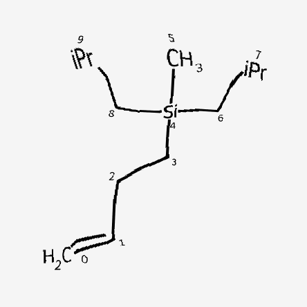 C=CCC[Si](C)(CC(C)C)CC(C)C